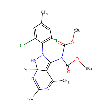 CC(C)C12N=C(C(F)(F)F)N=C(C(F)(F)F)C1=C(N(C(=O)OC(C)(C)C)C(=O)OC(C)(C)C)N(c1c(Cl)cc(C(F)(F)F)cc1Cl)N2